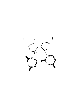 O=c1ccn([C@@]2(O[C@@]3(n4ccc(=O)[nH]c4=O)O[C@H](CO)[C@@H](O)[C@H]3O)CC[C@@H](CO)O2)c(=O)[nH]1